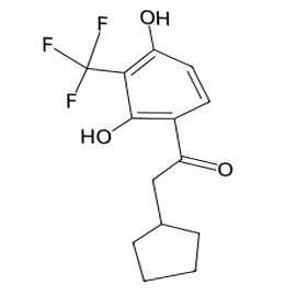 O=C(CC1CCCC1)c1ccc(O)c(C(F)(F)F)c1O